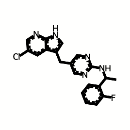 CC(Nc1ncc(Cc2c[nH]c3ncc(Cl)cc23)cn1)c1ccccc1F